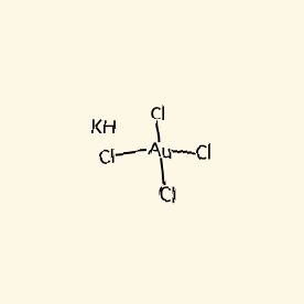 [Cl][Au]([Cl])([Cl])[Cl].[KH]